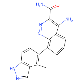 Cc1c(-c2cccc3c(N)c(C(N)=O)nnc23)ccc2[nH]ncc12